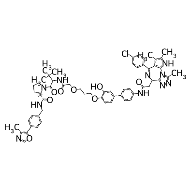 Cc1ncoc1-c1ccc(CNC(=O)[C@@H]2CCCN2C(=O)C(NC(=O)COCCCOc2ccc(-c3ccc(NC(=O)CC4N=C(c5ccc(Cl)cc5)c5c([nH]c(C)c5C)-n5c(C)nnc54)cc3)cc2O)C(C)(C)C)cc1